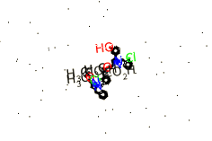 CC(C)(OCc1cc(Cc2ccccc2)n(Cc2cccc(CC(C)(OCc3cc(-c4cccc(O)c4)n(Cc4ccccc4Cl)n3)C(=O)O)c2Cl)n1)C(=O)O